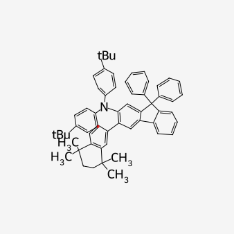 CC(C)(C)c1ccc(N(c2ccc(C(C)(C)C)cc2)c2cc3c(cc2-c2ccc4c(c2)C(C)(C)CCC4(C)C)-c2ccccc2C3(c2ccccc2)c2ccccc2)cc1